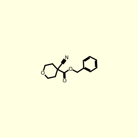 N#CC1(C(=O)OCc2ccccc2)CCOCC1